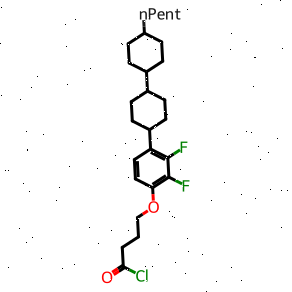 CCCCCC1CCC(C2CCC(c3ccc(OCCCC(=O)Cl)c(F)c3F)CC2)CC1